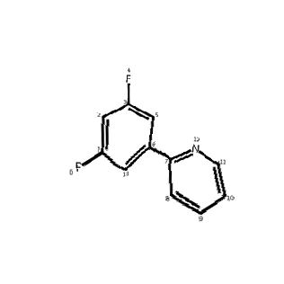 Fc1cc(F)cc(-c2ccc[c]n2)c1